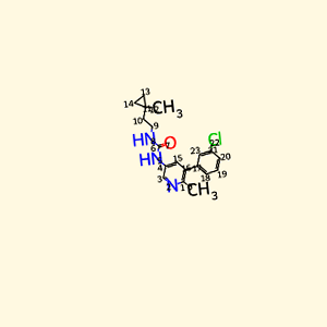 Cc1ncc(NC(=O)NCCC2(C)CC2)cc1-c1cccc(Cl)c1